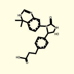 CC1(C)NC=Nc2cc(N3C(=O)NCC3c3ccc(CCC(=O)O)cc3)ccc21.Cl